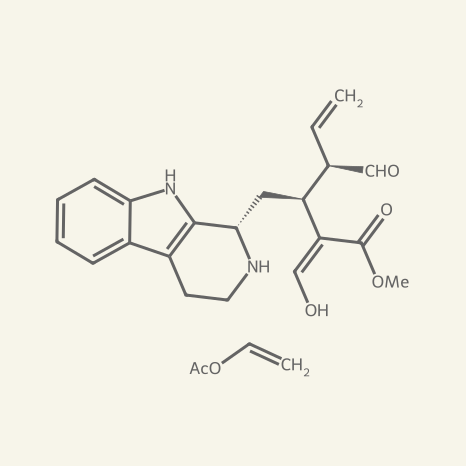 C=COC(C)=O.C=C[C@@H](C=O)[C@H](C[C@@H]1NCCc2c1[nH]c1ccccc21)/C(=C/O)C(=O)OC